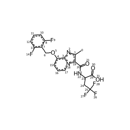 Cc1nc2c(OCc3c(F)cccc3F)cccn2c1C(=O)NC(CC(F)(F)F)C(=O)O